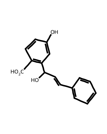 O=C(O)c1ccc(O)cc1C(O)C=Cc1ccccc1